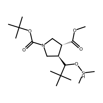 COC(=O)[C@H]1CN(C(=O)OC(C)(C)C)C[C@@H]1C(O[SiH](C)C)C(C)(C)C